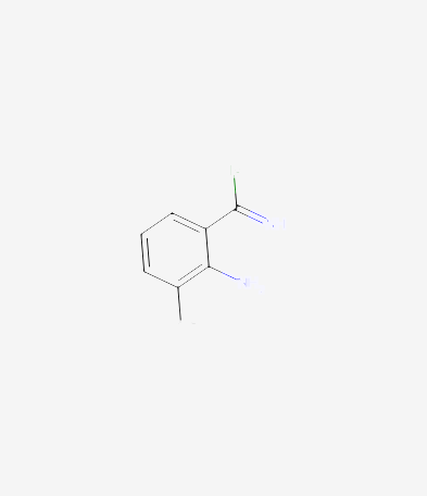 CCCc1cccc(C(=N)Br)c1N